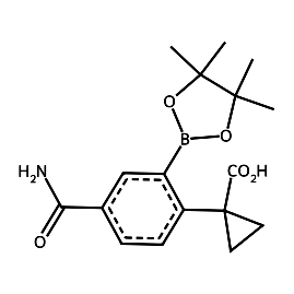 CC1(C)OB(c2cc(C(N)=O)ccc2C2(C(=O)O)CC2)OC1(C)C